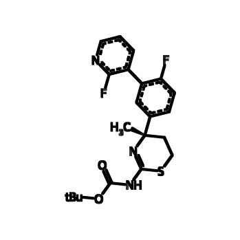 CC(C)(C)OC(=O)NC1=N[C@](C)(c2ccc(F)c(-c3cccnc3F)c2)CCS1